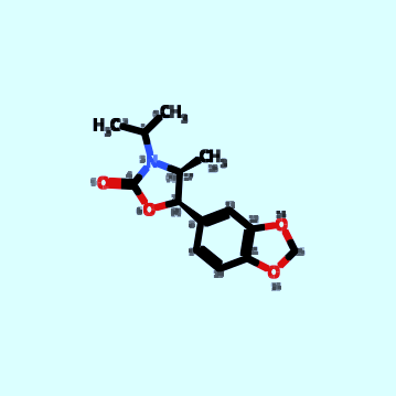 CC(C)N1C(=O)O[C@H](c2ccc3c(c2)OCO3)[C@@H]1C